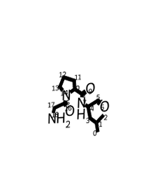 CC(C)CC([C]=O)NC(=O)C1CCCN1C(=O)CN